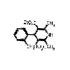 CCOC(=O)C1=C(C)NC(C)=C(C(=O)OCC)C1c1ccccc1C